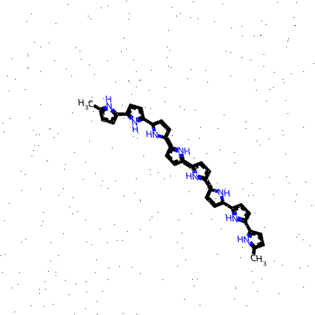 Cc1ccc(-c2ccc(C3C=C/C(=c4/cc/c(=c5/cc/c(=C6/C=CC(c7ccc(-c8ccc(C)[nH]8)[nH]7)N6)[nH]5)[nH]4)N3)[nH]2)[nH]1